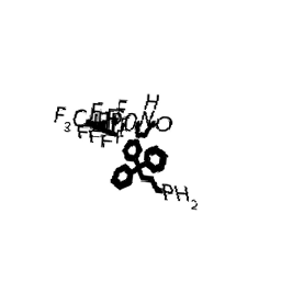 FC(F)(F)C(F)(F)C(F)(F)C(F)(F)[PH](F)(F)F.O=C1CCC(=O)N1.PCCCC(c1ccccc1)(c1ccccc1)c1ccccc1